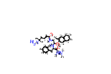 CN(C(=O)/C=C/CC(C)(C)N)[C@H](Cc1ccc2ccccc2c1)C(=O)N(C)[C@H](Cc1ccccc1)C(=O)N(C)N(C)C